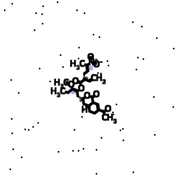 C=C[C@@H](C/C=C(\C)[N+](=O)[O-])C(=O)O/C(C[C@H]1C[C@H]2CCC(C(C)=O)=CC2C(=O)O1)=C(/CC)OC